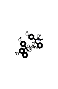 C/C=C(\OC)C(c1ccc(OC)cc1)[C@H](OB(O)B1O[C@H](c2ccccc2)C(c2ccc(OC)cc2)(c2ccc(OC)cc2)O1)c1ccccc1